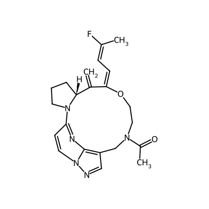 C=C1/C(=C\C=C(/C)F)OCCN(C(C)=O)Cc2cnn3ccc(nc23)N2CCC[C@H]12